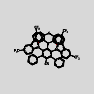 N#Cc1c(-c2ccccc2)c(-n2c3ccc(C(F)(F)F)cc3c3cc(C(F)(F)F)ccc32)c(N2c3ccccc3Sc3ccccc32)c(-n2c3ccc(C(F)(F)F)cc3c3cc(C(F)(F)F)ccc32)c1-c1ccccc1